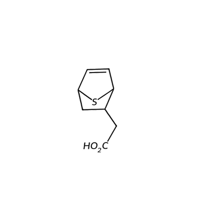 O=C(O)CC1CC2C=CC1S2